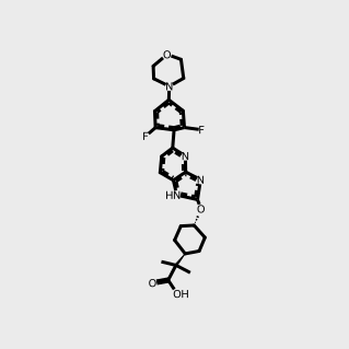 CC(C)(C(=O)O)[C@H]1CC[C@H](Oc2nc3nc(-c4c(F)cc(N5CCOCC5)cc4F)ccc3[nH]2)CC1